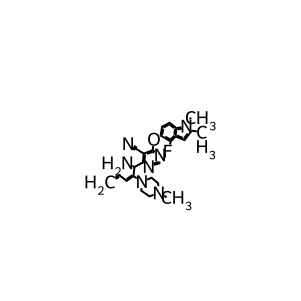 C=C/C=C(\C(N)c1ncnc(Oc2ccc3c(cc(C)n3C)c2F)c1C#N)N1CCN(C)CC1